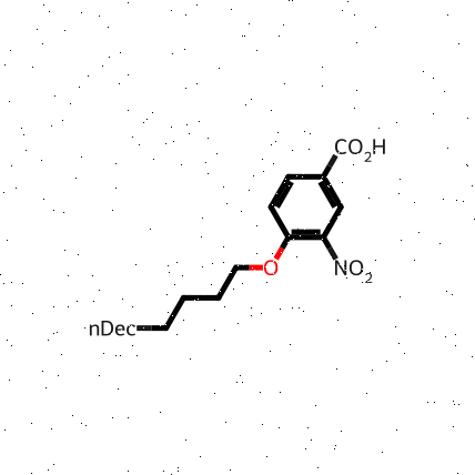 CCCCCCCCCCCCCCOc1ccc(C(=O)O)cc1[N+](=O)[O-]